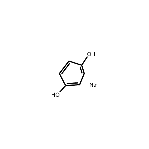 Oc1ccc(O)cc1.[Na]